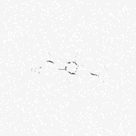 N#CC(C#N)=C1Sc2c(c([N+](=O)[O-])c3c(c2[N+](=O)[O-])SC(=C(C#N)[C@H]2CN2)S3)S1